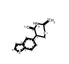 C=C1CCC(c2ccc3sccc3c2)C(=O)N1